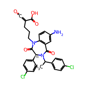 CC(c1ccc(Cl)cc1)N1C(=O)c2cc(N)ccc2N(CCCC(=C=O)C(=O)O)C(=O)[C@@H]1c1ccc(Cl)cc1